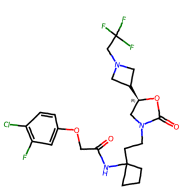 O=C(COc1ccc(Cl)c(F)c1)NC1(CCN2C[C@@H](C3CN(CC(F)(F)F)C3)OC2=O)CCC1